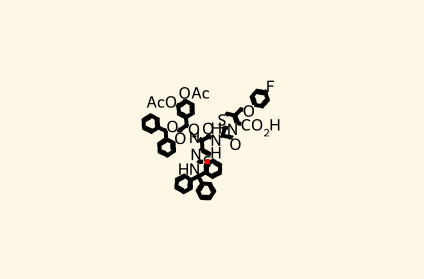 CC(=O)Oc1ccc(C(O/N=C(\C(=O)N[C@@H]2C(=O)N3C(C(=O)O)=C(COc4ccc(F)cc4)CS[C@H]23)c2csc(NC(c3ccccc3)(c3ccccc3)c3ccccc3)n2)C(=O)OC(c2ccccc2)c2ccccc2)cc1OC(C)=O